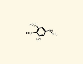 Cl.NNc1ccc(C(=O)O)c(C(=O)O)c1